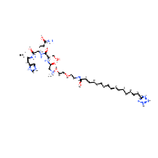 CC(=O)N(CC(=O)N[C@@H](CO)C(=O)N[C@@H](CCC(N)=O)C(=O)N[C@@H](Cc1c[nH]cn1)C(=O)O)OCCOCCNC(=O)CCCCCCCCCCCCCCCc1nnn[nH]1